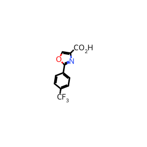 O=C(O)c1coc(-c2ccc(C(F)(F)F)cc2)n1